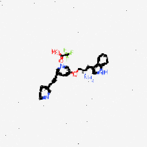 N[C@H](COc1cncc(C#Cc2cccnc2)c1)Cc1c[nH]c2ccccc12.O=C(O)C(F)(F)F